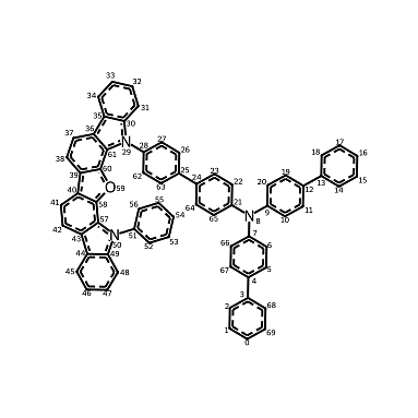 c1ccc(-c2ccc(N(c3ccc(-c4ccccc4)cc3)c3ccc(-c4ccc(-n5c6ccccc6c6ccc7c8ccc9c%10ccccc%10n(-c%10ccccc%10)c9c8oc7c65)cc4)cc3)cc2)cc1